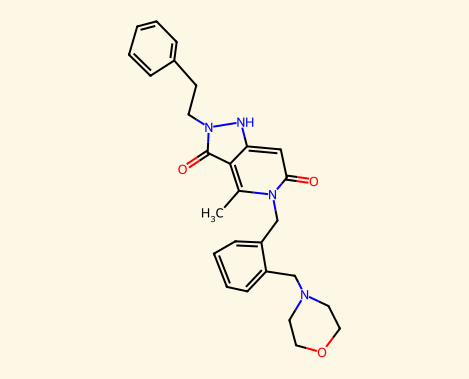 Cc1c2c(=O)n(CCc3ccccc3)[nH]c2cc(=O)n1Cc1ccccc1CN1CCOCC1